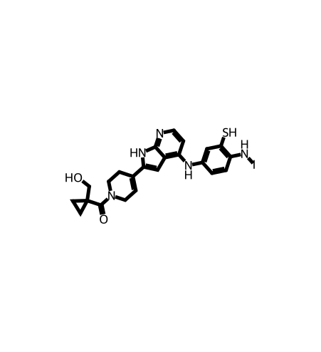 O=C(N1CC=C(c2cc3c(Nc4ccc(NI)c(S)c4)ccnc3[nH]2)CC1)C1(CO)CC1